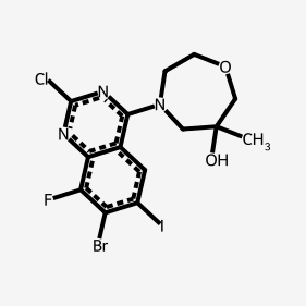 CC1(O)COCCN(c2nc(Cl)nc3c(F)c(Br)c(I)cc23)C1